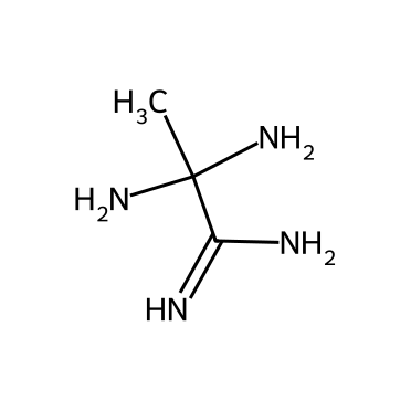 CC(N)(N)C(=N)N